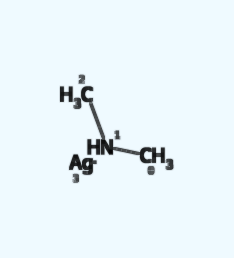 CNC.[Ag]